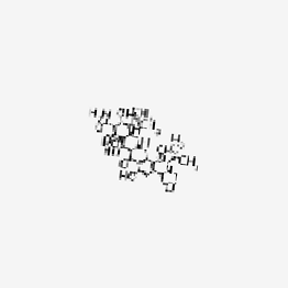 COc1c(C2COCCN2CC(C)C)cc(O)c2c1C[C@H]1C[C@H]3[C@H](N(C)C)C(O)=C(C(N)=O)C(=O)[C@@]3(O)C(O)=C1C2=O